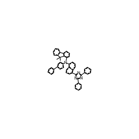 CC1(C)c2ccccc2-c2cccc(N(c3ccc(-c4ccccc4)cc3)c3cccc4c(-c5nc(-c6ccccc6)nc(-c6ccccc6)n5)cccc34)c21